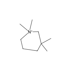 CC1(C)CCC[N+](C)(C)C1